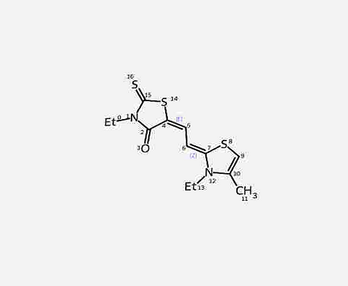 CCN1C(=O)/C(=C\C=C2/SC=C(C)N2CC)SC1=S